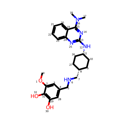 COc1cc(CNC[C@H]2CC[C@@H](Nc3nc(N(C)C)c4ccccc4n3)CC2)cc(O)c1O